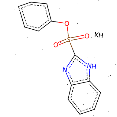 O=S(=O)(Oc1ccccc1)c1nc2ccccc2[nH]1.[KH]